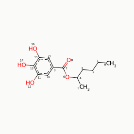 CCCCC(C)OC(=O)c1cc(O)c(O)c(O)c1